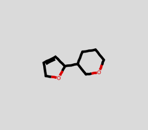 [C]1=CCOC1C1[CH]OCCC1